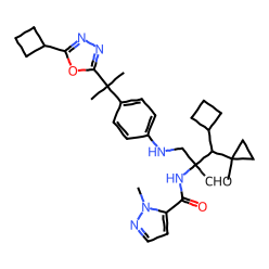 Cn1nccc1C(=O)NC(C=O)(CNc1ccc(C(C)(C)c2nnc(C3CCC3)o2)cc1)C(C1CCC1)C1(C)CC1